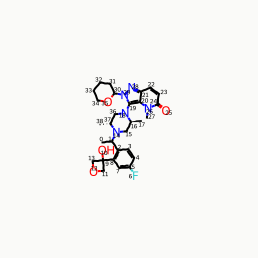 CC(c1ccc(F)cc1C1(O)COC1)N1C[C@H](C)N(c2c3c(ccc(=O)n3C)nn2C2CCCCO2)C[C@H]1C